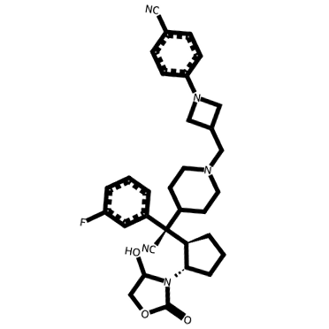 N#Cc1ccc(N2CC(CN3CCC([C@@](C#N)(c4cccc(F)c4)[C@H]4CCC[C@@H]4N4C(=O)OCC4O)CC3)C2)cc1